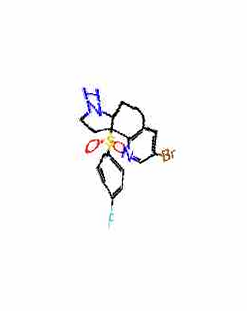 O=S(=O)(c1ccc(F)cc1)C12CCNC1CCc1cc(Br)cnc12